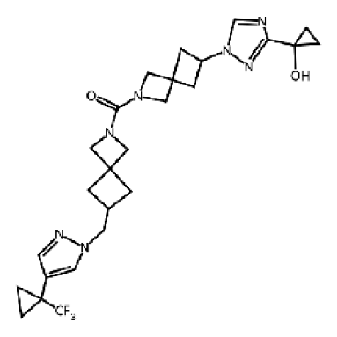 O=C(N1CC2(CC(Cn3cc(C4(C(F)(F)F)CC4)cn3)C2)C1)N1CC2(CC(n3cnc(C4(O)CC4)n3)C2)C1